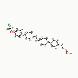 COCCCc1ccc(C2CCC(/C=C/C3CCC(c4ccc(OC(F)(F)F)cc4)CC3)CC2)cc1